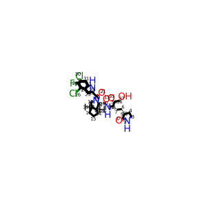 O=C1NCC[C@H]1CC[C@H](NC(=O)[C@@H]1[C@H]2CCC[C@H]2CN1C(=O)c1cc2c(Cl)c(F)c(Cl)cc2[nH]1)C(=O)CO